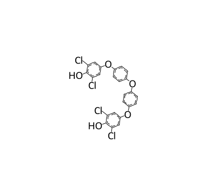 Oc1c(Cl)cc(Oc2ccc(Oc3ccc(Oc4cc(Cl)c(O)c(Cl)c4)cc3)cc2)cc1Cl